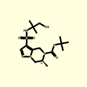 C[C@H]1Cn2ncc(S(=O)(=O)NC(C)(C)CO)c2CN1C(=O)OC(C)(C)C